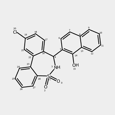 O=S1(=O)NC(c2ccc3ccccc3c2O)c2ccc(Cl)cc2-c2ccccc21